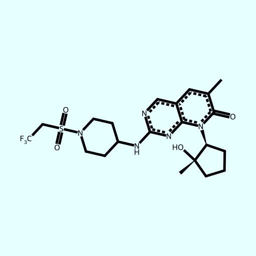 Cc1cc2cnc(NC3CCN(S(=O)(=O)CC(F)(F)F)CC3)nc2n([C@H]2CCC[C@]2(C)O)c1=O